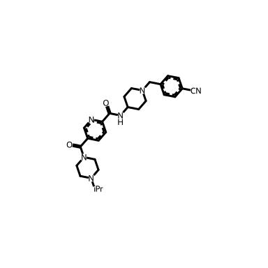 CC(C)N1CCN(C(=O)c2ccc(C(=O)NC3CCN(Cc4ccc(C#N)cc4)CC3)nc2)CC1